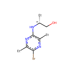 CCc1nc(N[C@H](CC)CO)c(CC)nc1Br